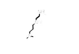 CN(C)CCCNC=CN